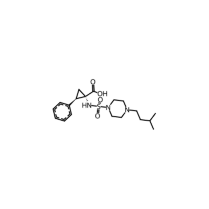 CC(C)CCN1CCN(S(=O)(=O)N[C@@]2(C(=O)O)C[C@@H]2c2ccccc2)CC1